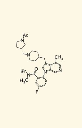 CC(=O)N1CC[C@@H](CN2CCC(Cc3cn(-c4ccc(F)cc4C(=O)N(C)C(C)C)c4cncc(C)c34)CC2)C1